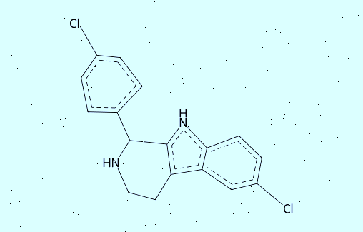 Clc1ccc(C2NCCc3c2[nH]c2ccc(Cl)cc32)cc1